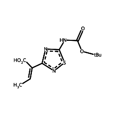 CC=C(C(=O)O)c1nsc(NC(=O)OC(C)(C)C)n1